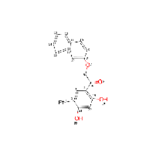 CCc1cc(C(=O)COc2ccc3ccccc3c2)c(O)cc1O